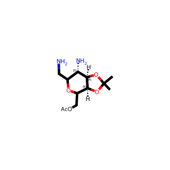 CC(=O)OCC1OC(CN)[C@H](N)[C@H]2OC(C)(C)O[C@@H]12